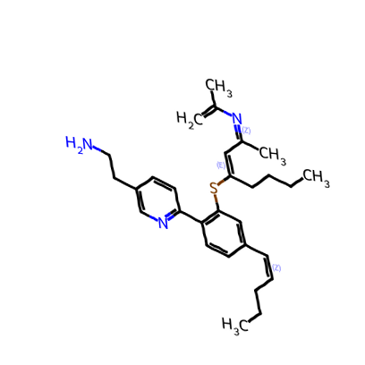 C=C(C)/N=C(C)\C=C(/CCCC)Sc1cc(/C=C\CCC)ccc1-c1ccc(CCN)cn1